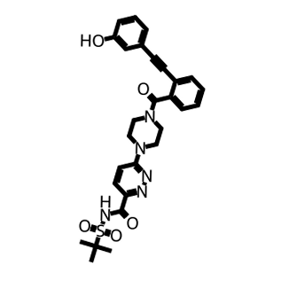 CC(C)(C)S(=O)(=O)NC(=O)c1ccc(N2CCN(C(=O)c3ccccc3C#Cc3cccc(O)c3)CC2)nn1